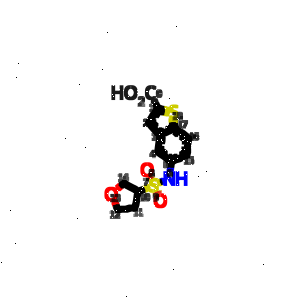 O=C(O)c1cc2cc(NS(=O)(=O)C3CCOC3)ccc2s1